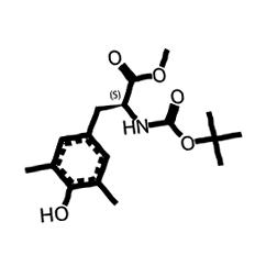 COC(=O)[C@H](Cc1cc(C)c(O)c(C)c1)NC(=O)OC(C)(C)C